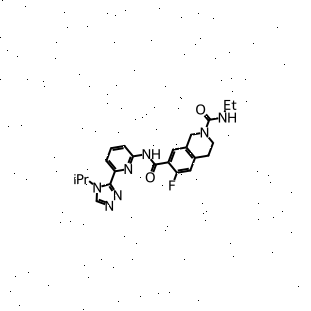 CCNC(=O)N1CCc2cc(F)c(C(=O)Nc3cccc(-c4nncn4C(C)C)n3)cc2C1